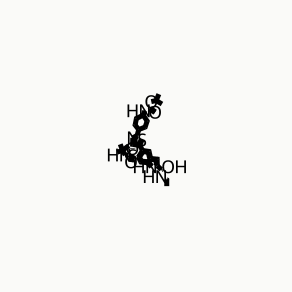 CCNC(O)c1cc2cc(-c3cnc(C4CCC(NC(=O)OC(C)C)CC4)s3)c(S(=O)(=O)NC(C)(C)C)cc2[nH]1